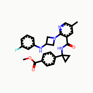 COC(=O)c1ccc(C2(NC(=O)c3cc(C)cnc3N3CC(Nc4cccc(F)c4)C3)CC2)cc1